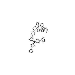 CC1(C)c2ccccc2C2(c3ccccc3-c3ccc(-c4ccc(-c5cccc(N(c6ccc(-c7ccccc7)cc6)c6ccc(-c7ccccc7)cc6)c5)cc4)cc32)c2ccccc21